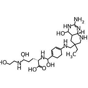 CCC1(CNC2=CC=C(C(O)N[C@@H](CC[C@@H](O)NCCO)C(=O)O)CC2)CN[C@H]2N=C(N)NC(O)C2C1